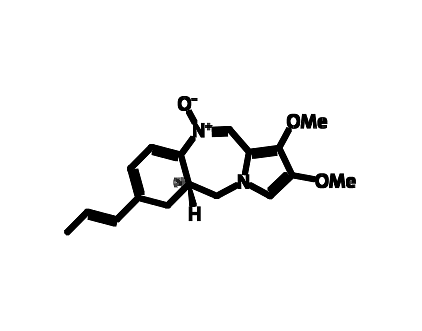 CC=CC1=CC=C2[C@@H](C1)Cn1cc(OC)c(OC)c1C=[N+]2[O-]